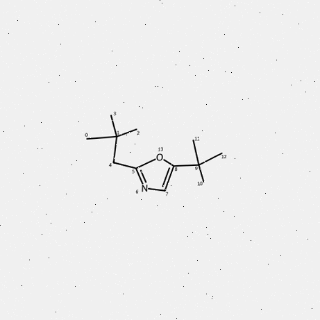 CC(C)(C)Cc1ncc(C(C)(C)C)o1